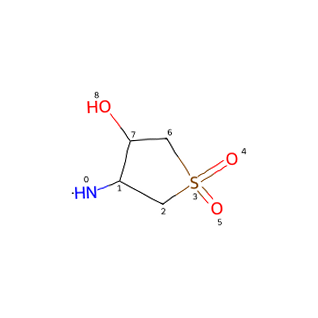 [NH]C1CS(=O)(=O)CC1O